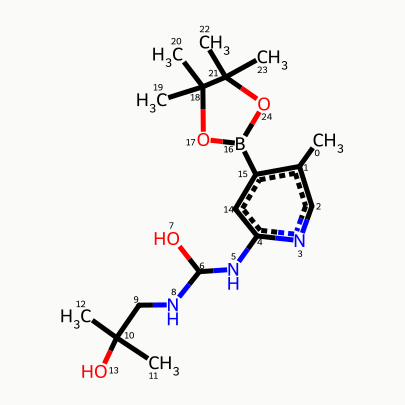 Cc1cnc(NC(O)NCC(C)(C)O)cc1B1OC(C)(C)C(C)(C)O1